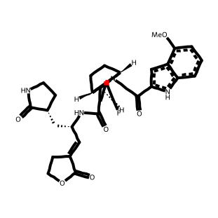 COc1cccc2[nH]c(C(=O)N3[C@H]4CC[C@@H]([C@@H]3C(=O)N[C@H](/C=C3\CCOC3=O)C[C@H]3CCNC3=O)C(F)(F)C4)cc12